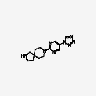 c1nc(N2CCC3(CCNC3)CC2)ncc1-n1cnnn1